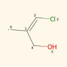 [CH2]C(=CCl)CO